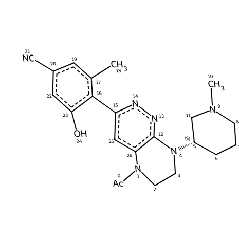 CC(=O)N1CCN([C@H]2CCCN(C)C2)c2nnc(-c3c(C)cc(C#N)cc3O)cc21